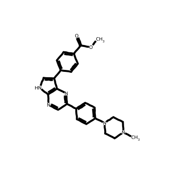 COC(=O)c1ccc(-c2c[nH]c3ncc(-c4ccc(N5CCN(C)CC5)cc4)nc23)cc1